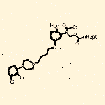 CCCCCCCC(=O)OCN(C(=O)CC)c1cc(OCCCCN2CCN(c3cccc(Cl)c3Cl)CC2)ccc1C